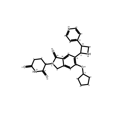 O=C1CCC(N2Cc3cc(OC4CCCC4)c(C4NCC4c4ccncc4)cc3C2=O)C(=O)N1